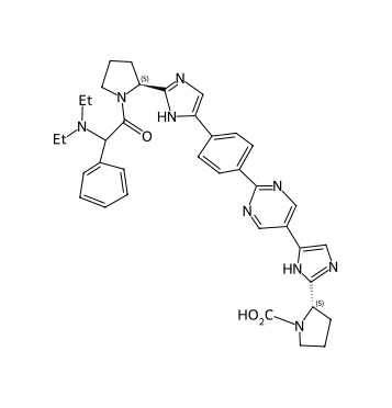 CCN(CC)C(C(=O)N1CCC[C@H]1c1ncc(-c2ccc(-c3ncc(-c4cnc([C@@H]5CCCN5C(=O)O)[nH]4)cn3)cc2)[nH]1)c1ccccc1